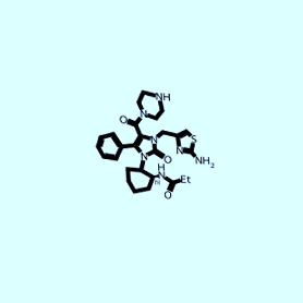 CCC(=O)N[C@H]1CCCCC1n1c(-c2ccccc2)c(C(=O)N2CCNCC2)n(Cc2csc(N)n2)c1=O